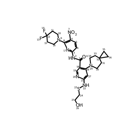 O=C(Nc1ccc([N+](=O)[O-])c(N2CCC(F)(F)CC2)n1)c1cnc(NSCCO)cc1N1CCC2(CC1)CC2